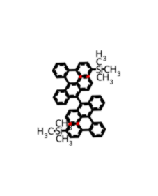 C[Si](C)(C)c1ccc(-c2ccccc2-c2c3ccccc3c(-c3c4ccccc4c(-c4ccccc4-c4ccc([Si](C)(C)C)cc4)c4ccccc34)c3ccccc23)cc1